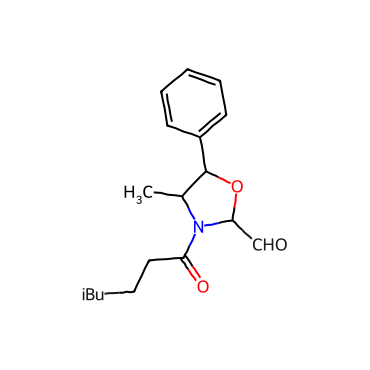 CCC(C)CCC(=O)N1C(C=O)OC(c2ccccc2)C1C